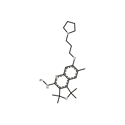 Cc1cc2c3c(c(NC(C)C)nc2cc1OCCCN1CCCC1)C(C)(C)OC3(C)C